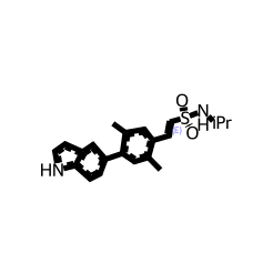 Cc1cc(-c2ccc3[nH]ccc3c2)c(C)cc1/C=C/S(=O)(=O)NC(C)C